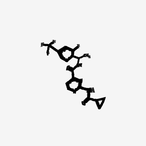 CC(NC(=O)c1ccnc(NC(=O)C2CC2)n1)c1ccc(C(F)(F)F)cc1F